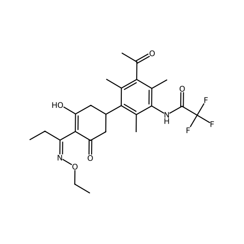 CCO/N=C(/CC)C1=C(O)CC(c2c(C)c(NC(=O)C(F)(F)F)c(C)c(C(C)=O)c2C)CC1=O